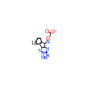 O=C([O-])CO/N=C1\c2ccccc2-c2nn3nnnc3nc21.[Li+]